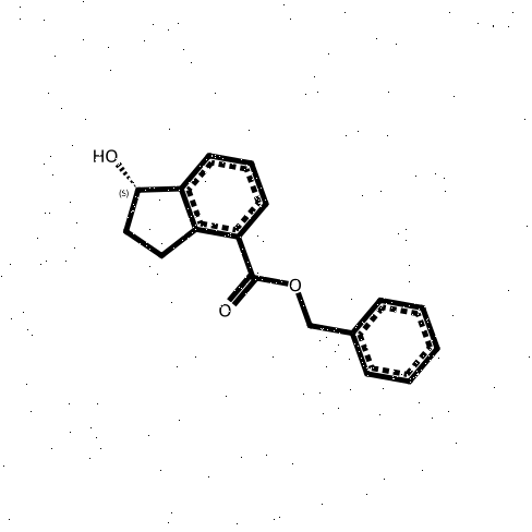 O=C(OCc1ccccc1)c1cccc2c1CC[C@@H]2O